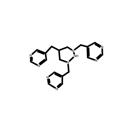 c1ncc(CC2CN(Cc3cncnc3)NN(Cc3cncnc3)C2)cn1